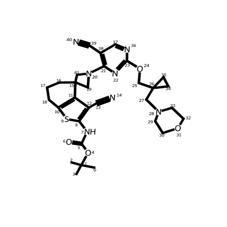 CC(C)(C)OC(=O)Nc1sc2c(c1C#N)C1(CCC2)CN(c2nc(OCC3(CN4CCOCC4)CC3)ncc2C#N)C1